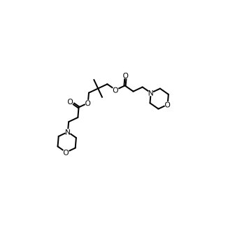 CC(C)(COC(=O)CCN1CCOCC1)COC(=O)CCN1CCOCC1